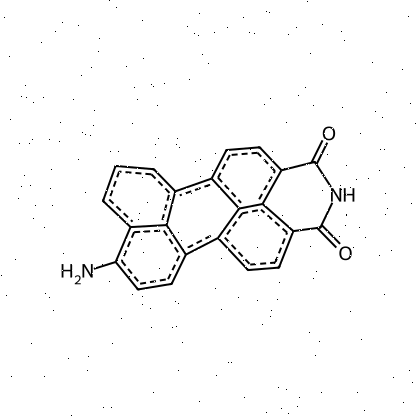 Nc1ccc2c3ccc4c5c(ccc(c6cccc1c62)c53)C(=O)NC4=O